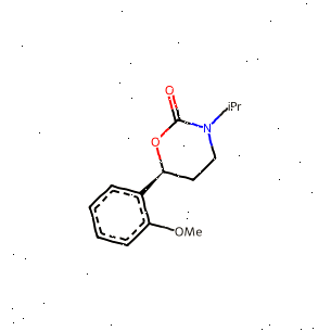 COc1ccccc1[C@@H]1CCN(C(C)C)C(=O)O1